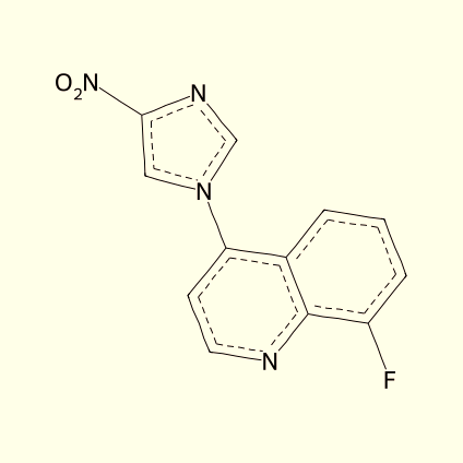 O=[N+]([O-])c1cn(-c2ccnc3c(F)cccc23)cn1